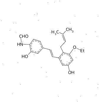 CCOc1cc(O)cc(/C=C/c2ccc(NC=O)c(O)c2)c1CC=C(C)C